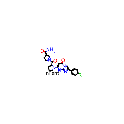 CCCCCn1c(N2CCC[C@H]2C(=O)N2CCC(C(N)=O)C2)cc(=O)n2cc(-c3ccc(Cl)cc3)nc12